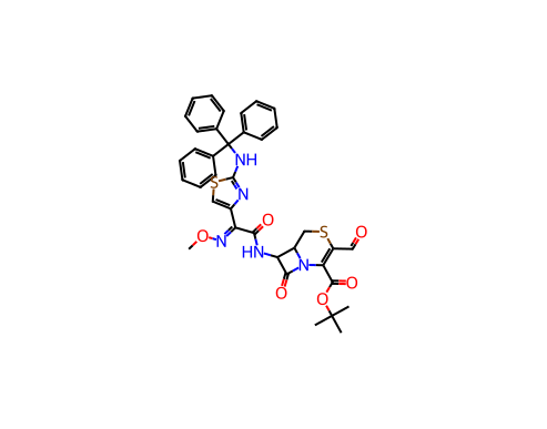 CON=C(C(=O)NC1C(=O)N2C(C(=O)OC(C)(C)C)=C(C=O)SCC12)c1csc(NC(c2ccccc2)(c2ccccc2)c2ccccc2)n1